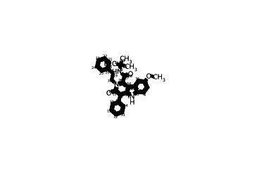 COc1ccc2[nH]c3c(-c4ccccc4)c(=O)n(CCc4ccccc4)c(C(=O)NC(C)(C)C)c3c2c1